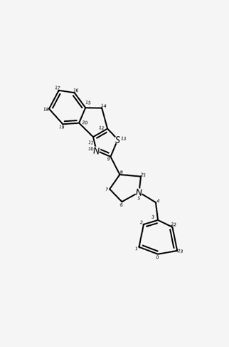 c1ccc(CN2CCC(c3nc4c(s3)Cc3ccccc3-4)C2)cc1